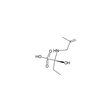 C=C(C)CN[C@](O)(CC)S(=O)(=O)O